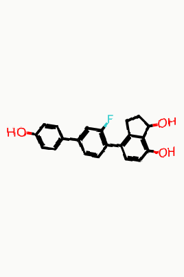 Oc1ccc(-c2ccc(-c3ccc(O)c4c3CCC4O)c(F)c2)cc1